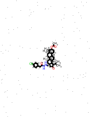 CC(=O)O[C@H]1CC[C@]2(C)[C@H]3CC[C@@H]4C5=C(C(C)C)C(=O)C[C@]5(CNNC(=O)Cc5ccc(Cl)cc5)CC[C@@]4(C)[C@]3(C)CC[C@H]2C1(C)C